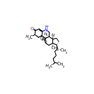 CC(C)CCC[C@@H](C)[C@H]1CC[C@H]2[C@@H]3CNC4=CC(=O)C(C)C[C@]4(C)[C@H]3CC[C@]12C